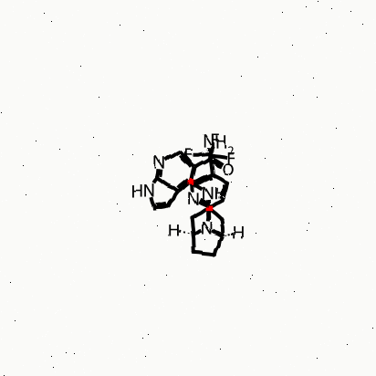 NC(=O)c1cnc2[nH]ccc2c1N[C@H]1C[C@H]2CC[C@@H](C1)N2c1ccc(C(F)(F)F)cn1